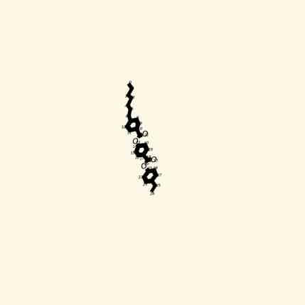 CCCCCCCc1ccc(C(=O)Oc2ccc(C(=O)Oc3ccc(CC)cc3)cc2)cc1